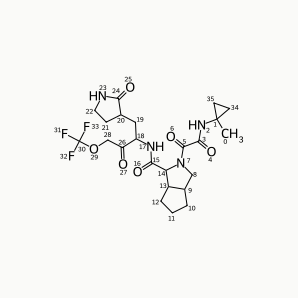 CC1(NC(=O)C(=O)N2CC3CCCC3C2C(=O)NC(CC2CCNC2=O)C(=O)COC(F)(F)F)CC1